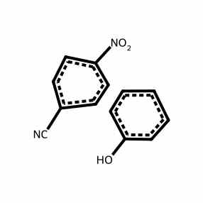 N#Cc1ccc([N+](=O)[O-])cc1.Oc1ccccc1